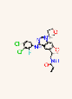 C=CC(=O)NCC1COc2cc3c(cc21)/c(=N/c1ccc(Cl)c(Cl)c1F)ncn3[C@H]1CCOC1